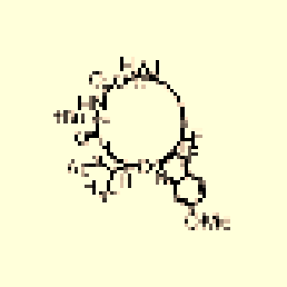 COc1ccc2c(F)c3c(nc2c1)O[C@H]1CN(C(=O)[C@H](C(C)(C)C)NC(=O)O[C@@H]2C[C@H]2CCCCC3(F)F)[C@H](C(C)=O)C1C